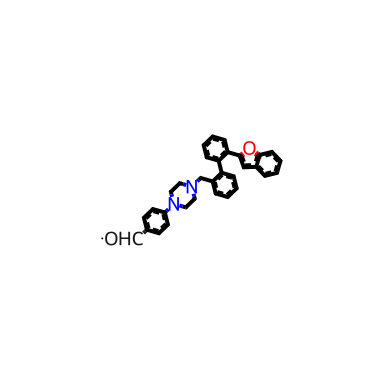 O=[C]c1ccc(N2CCN(Cc3ccccc3-c3ccccc3-c3cc4ccccc4o3)CC2)cc1